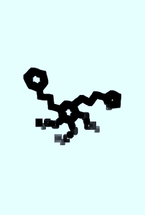 COc1c(CCCc2ccccc2)[c]c(CCCc2cccs2)c(OC)c1OC